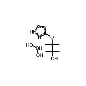 CC(C)(O)C(C)(C)Oc1cc[nH]n1.OBO